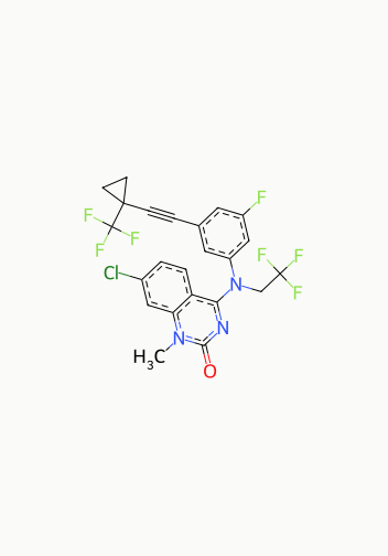 Cn1c(=O)nc(N(CC(F)(F)F)c2cc(F)cc(C#CC3(C(F)(F)F)CC3)c2)c2ccc(Cl)cc21